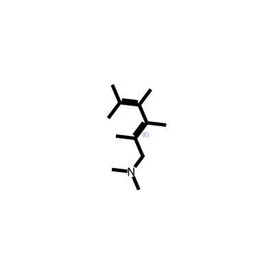 CC(C)=C(C)/C(C)=C(\C)CN(C)C